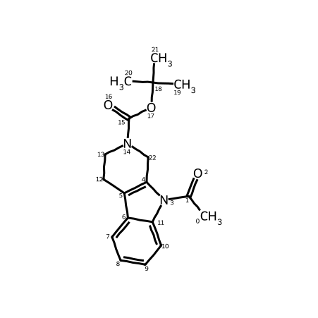 CC(=O)n1c2c(c3ccccc31)CCN(C(=O)OC(C)(C)C)C2